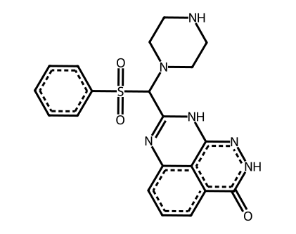 O=c1[nH]nc2c3c(cccc13)N=C(C(N1CCNCC1)S(=O)(=O)c1ccccc1)N2